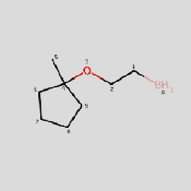 BCCOC1(C)CCCC1